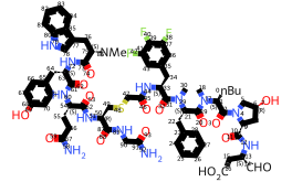 CCCC[C@@H](C(=O)N1C[C@H](O)C[C@@H]1C(=O)N[C@H](C=O)CC(=O)O)N(C)C(=O)[C@H](Cc1ccccc1)N(C)C(=O)[C@H](Cc1cc(F)c(F)c(F)c1)NC(=O)CSC[C@H](NC(=O)[C@H](CCC(N)=O)NC(=O)[C@H](Cc1ccc(O)cc1)NC(=O)[C@H](Cc1c[nH]c2ccccc12)NC)C(=O)NCC(N)=O